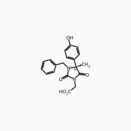 C[C@@]1(c2ccc(O)cc2)C(=O)N(CC(=O)O)C(=O)N1Cc1ccccc1